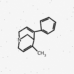 CC1=CCN2CC=C(c3ccccc3)C1C2